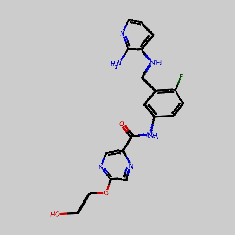 Nc1ncccc1NCc1cc(NC(=O)c2cnc(OCCO)cn2)ccc1F